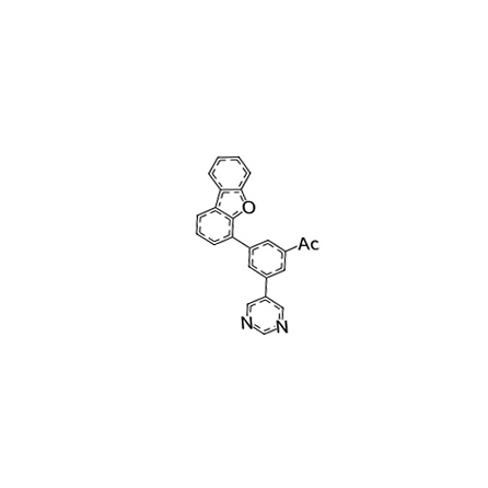 CC(=O)c1cc(-c2cncnc2)cc(-c2cccc3c2oc2ccccc23)c1